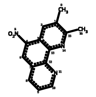 Cc1cc2c([N+](=O)[O-])cc3cccnc3c2nc1C